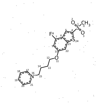 CS(=O)(=O)c1cc2c(F)cc(OCCCC[n+]3ccccc3)cc2s1